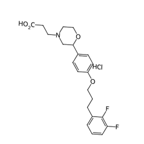 Cl.O=C(O)CCN1CCOC(c2ccc(OCCCc3cccc(F)c3F)cc2)C1